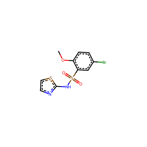 COc1ccc(Br)cc1S(=O)(=O)Nc1nccs1